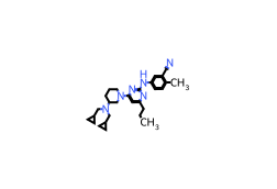 CCCc1cc(N2CCCC(N(CC3CC3)CC3CC3)C2)nc(Nc2ccc(C)c(C#N)c2)n1